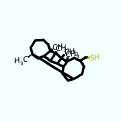 CC12CCCC[C@@]3(C)CC1C1C4C5CCC3CCC(CS)CC5(C)C4(C)C12C